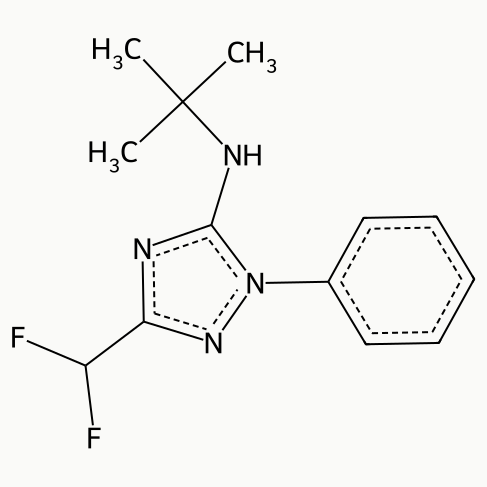 CC(C)(C)Nc1nc(C(F)F)nn1-c1ccccc1